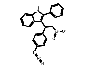 [N-]=[N+]=Nc1ccc(C(C[N+](=O)[O-])c2c(-c3ccccc3)[nH]c3ccccc23)cc1